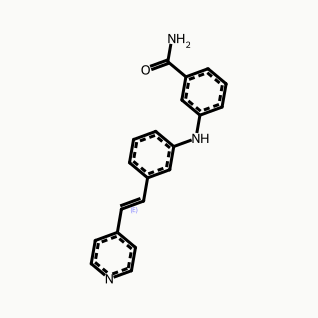 NC(=O)c1cccc(Nc2cccc(/C=C/c3ccncc3)c2)c1